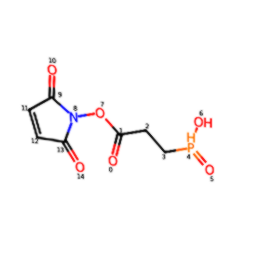 O=C(CC[PH](=O)O)ON1C(=O)C=CC1=O